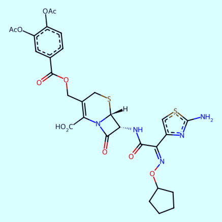 CC(=O)Oc1ccc(C(=O)OCC2=C(C(=O)O)N3C(=O)[C@@H](NC(=O)/C(=N\OC4CCCC4)c4csc(N)n4)[C@H]3SC2)cc1OC(C)=O